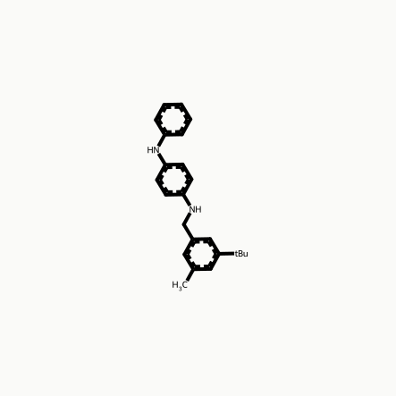 Cc1cc(CNc2ccc(Nc3ccccc3)cc2)cc(C(C)(C)C)c1